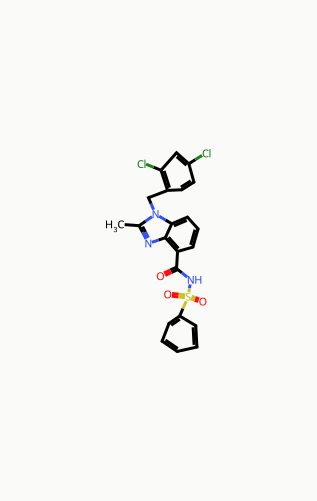 Cc1nc2c(C(=O)NS(=O)(=O)c3ccccc3)cccc2n1Cc1ccc(Cl)cc1Cl